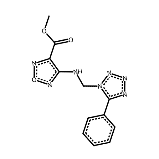 COC(=O)c1nonc1NCn1nnnc1-c1ccccc1